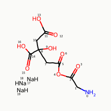 NCC(=O)OC(=O)CC(O)(CC(=O)O)C(=O)O.[NaH].[NaH].[NaH]